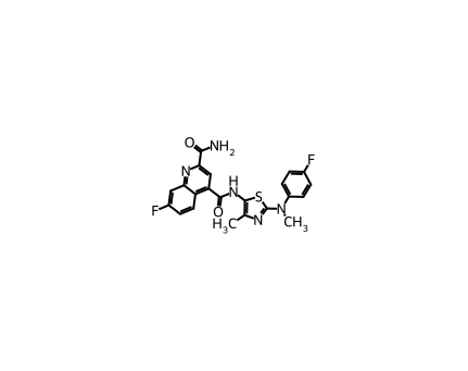 Cc1nc(N(C)c2ccc(F)cc2)sc1NC(=O)c1cc(C(N)=O)nc2cc(F)ccc12